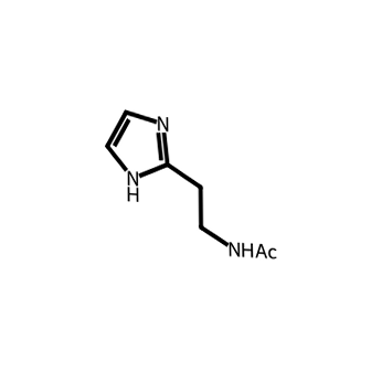 CC(=O)NCCc1ncc[nH]1